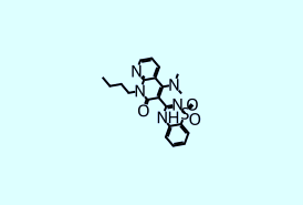 CCCCn1c(=O)c(C2=NS(=O)(=O)c3ccccc3N2)c(N(C)C)c2cccnc21